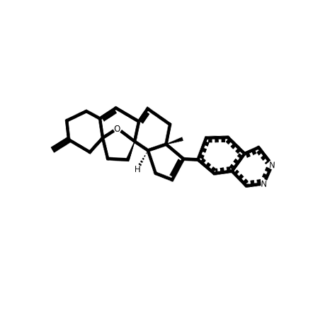 C=C1CCC2=CC3=CC[C@]4(C)C(c5ccc6cnncc6c5)=CC[C@H]4[C@@]34CCC2(C1)O4